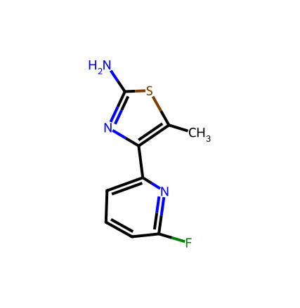 Cc1sc(N)nc1-c1cccc(F)n1